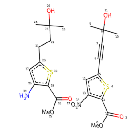 COC(=O)c1sc(C#CC(C)(C)O)cc1[N+](=O)[O-].COC(=O)c1sc(CCC(C)(C)O)cc1N